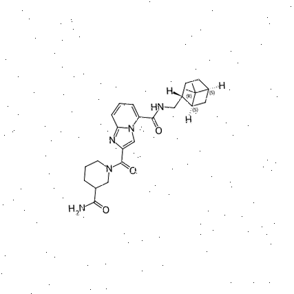 CC1(C)[C@H]2CC[C@@H](CNC(=O)c3cccc4nc(C(=O)N5CCCC(C(N)=O)C5)cn34)[C@@H]1C2